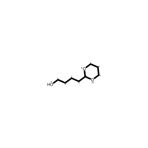 OCCCCC1OCCCO1